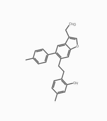 Cc1ccc(-c2cc3c(CC=O)coc3cc2CCc2ccc(C)cc2O)cc1